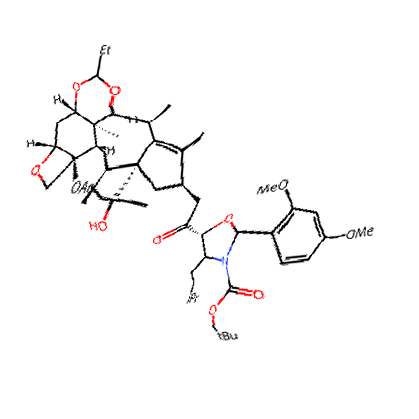 CCC1O[C@H]2C[C@H]3OC[C@@]3(OC(C)=O)[C@H]3[C@H](C)[C@]4(C(C)(C)O)C[C@H](CC(=O)[C@@H]5OC(c6ccc(OC)cc6OC)N(C(=O)OC(C)(C)C)C5CC(C)C)C(C)=C4[C@H](C)[C@H](O1)[C@]23C